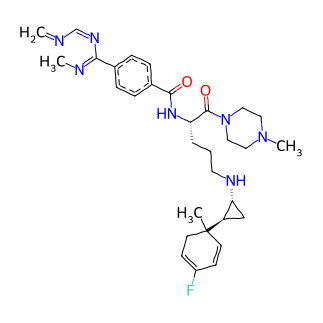 C=N/C=N\C(=N/C)c1ccc(C(=O)N[C@@H](CCCN[C@@H]2C[C@H]2C2(C)C=CC(F)=CC2)C(=O)N2CCN(C)CC2)cc1